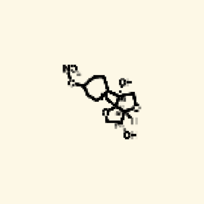 O=[N+]([O-])OC1CCC([C@@]2(O)CO[C@@H]3[C@H](O)CO[C@@H]32)CC1